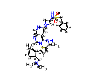 Cc1nc(NC(C)c2ccc(-c3ccccc3CN(C)C)s2)c2cc(N3CC(NS(=O)(=O)Cc4ccccc4)C3)ncc2n1